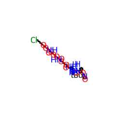 CC(C)(C)c1cc(NC(=O)Nc2ccc(OCCN3CCOCC3)c3ccccc23)n(-c2cccc(CNC(=O)OC/C=C/COC(=O)NCCOCCOCCOC(=O)NCCOCCOCCCCCCCl)c2)n1